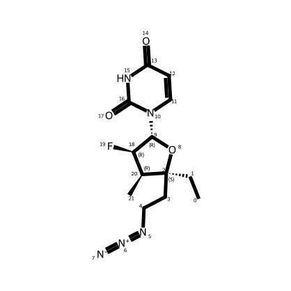 CC[C@@]1(CCN=[N+]=[N-])O[C@@H](n2ccc(=O)[nH]c2=O)[C@H](F)[C@@H]1C